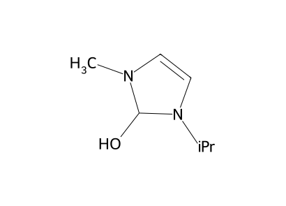 CC(C)N1C=CN(C)C1O